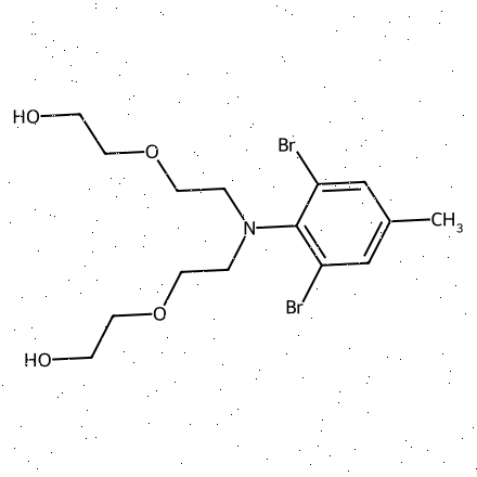 Cc1cc(Br)c(N(CCOCCO)CCOCCO)c(Br)c1